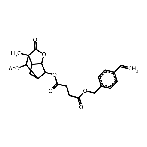 C=Cc1ccc(COC(=O)CCC(=O)OC2C3CC4C2OC(=O)C4(C)C3OC(C)=O)cc1